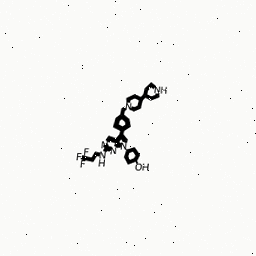 O[C@H]1CC[C@H](n2cc(-c3ccc(CN4CCC(C5CCNCC5)CC4)cc3)c3cnc(NCCC(F)(F)F)nc32)CC1